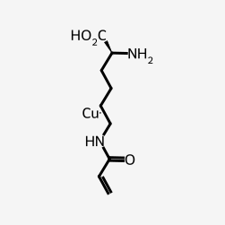 C=CC(=O)NCCCC[C@H](N)C(=O)O.[Cu]